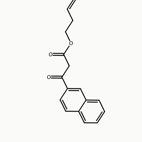 CC/C=C\CCOC(=O)CC(=O)c1ccc2ccccc2c1